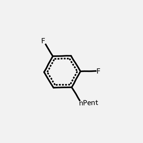 CC[CH]CCc1ccc(F)cc1F